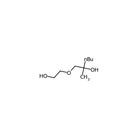 CCCCC(C)(O)COCCO